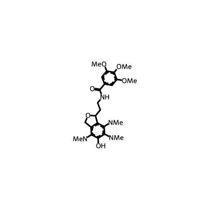 CNc1c(O)c(NC)c(NC)c2c1COC2CCNC(=O)c1cc(OC)c(OC)c(OC)c1